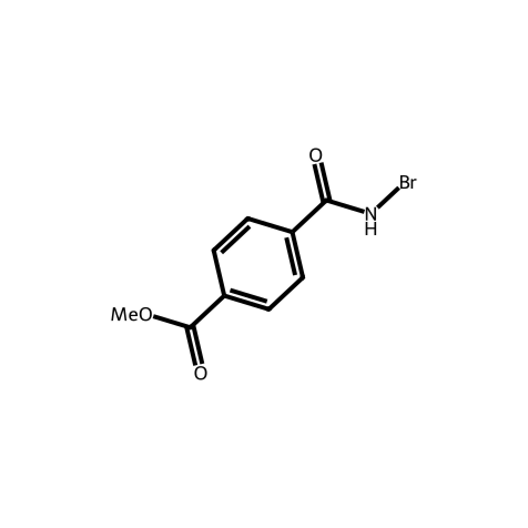 COC(=O)c1ccc(C(=O)NBr)cc1